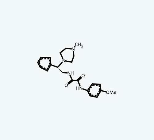 COc1ccc(NC(=O)C(=O)NC[C@H](c2ccccc2)N2CCN(C)CC2)cc1